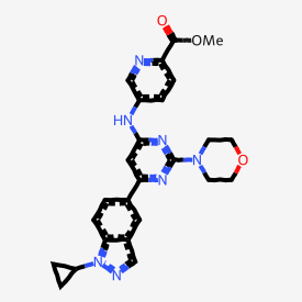 COC(=O)c1ccc(Nc2cc(-c3ccc4c(cnn4C4CC4)c3)nc(N3CCOCC3)n2)cn1